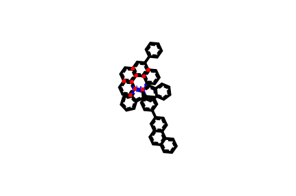 c1ccc(-c2ccc(-c3ccccc3N(c3ccc(-c4ccc5c(ccc6ccccc65)c4)cc3)c3ccccc3-c3ccccc3-n3c4ccccc4c4cc5ccccc5cc43)cc2)cc1